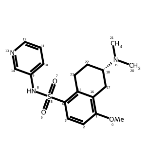 COc1ccc(S(=O)(=O)Nc2cccnc2)c2c1C[C@@H](N(C)C)CC2